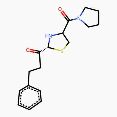 O=C(CCc1ccccc1)[C@@H]1NC(C(=O)N2CCCC2)CS1